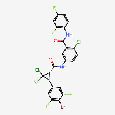 O=C(Nc1ccc(F)cc1F)c1cc(NC(=O)[C@@H]2[C@@H](c3cc(F)c(Br)c(F)c3)C2(Cl)Cl)ccc1Cl